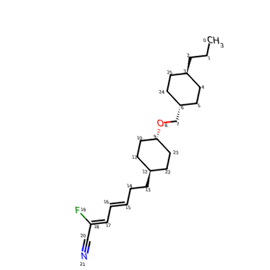 CCC[C@H]1CC[C@H](CO[C@H]2CC[C@H](CCC=CC=C(F)C#N)CC2)CC1